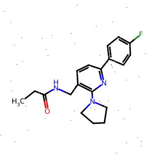 CCC(=O)NCc1ccc(-c2ccc(F)cc2)nc1N1CCCC1